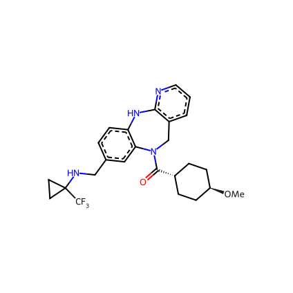 CO[C@H]1CC[C@H](C(=O)N2Cc3cccnc3Nc3ccc(CNC4(C(F)(F)F)CC4)cc32)CC1